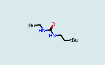 CC(C)(C)CCNC(=O)NCC(C)(C)C